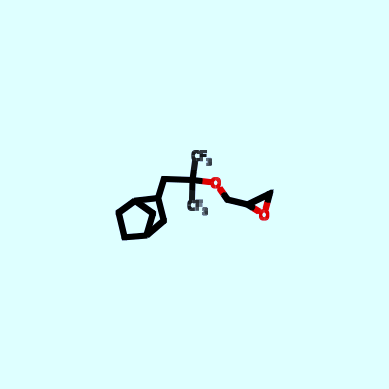 FC(F)(F)C(CC1CC2CCC1C2)(OCC1CO1)C(F)(F)F